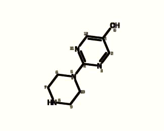 Oc1cnc(N2CCNCC2)nc1